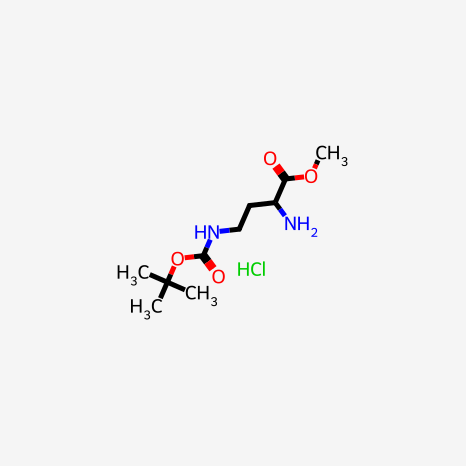 COC(=O)C(N)CCNC(=O)OC(C)(C)C.Cl